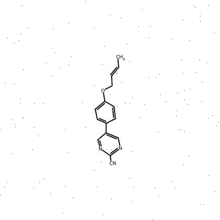 C/C=C/COc1ccc(-c2cnc(C#N)nc2)cc1